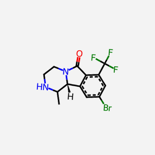 CC1NCCN2C(=O)c3c(cc(Br)cc3C(F)(F)F)[C@H]12